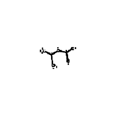 FC(F)(F)C(OC(Cl)Cl)C(F)(F)F